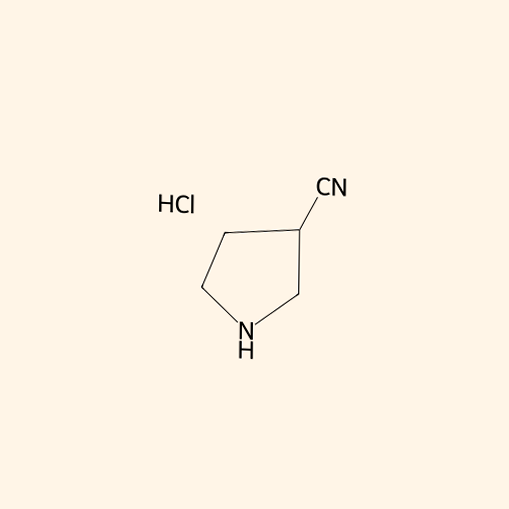 Cl.N#CC1CCNC1